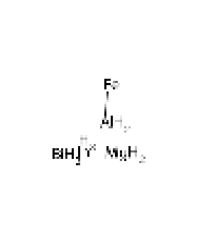 [AlH2][Fe].[BiH3].[InH3].[MgH2]